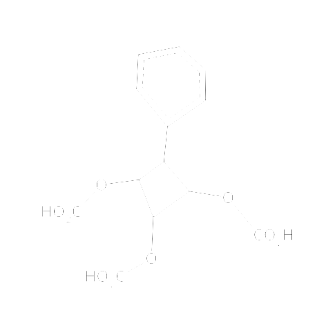 O=C(O)OC1C(OC(=O)O)C(c2ccccc2)C1OC(=O)O